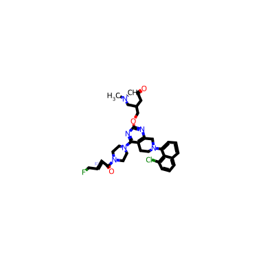 CN(C)CC(CC=O)COc1nc2c(c(N3CCN(C(=O)/C=C/CF)CC3)n1)CCN(c1cccc3cccc(Cl)c13)C2